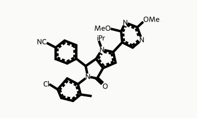 COc1ncc(-c2cc3c(n2C(C)C)C(c2ccc(C#N)cc2)N(c2cc(Cl)ccc2C)C3=O)c(OC)n1